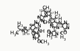 COc1cc(Nc2nc(-c3nc(CC(C)n4ccc(-c5sc6nc(-c7nccn7C)nc(Nc7cc(OC)ncn7)c6c5C)n4)cn3C)nc3sc(-c4ccn(C(C)C)n4)c(C)c23)ccn1